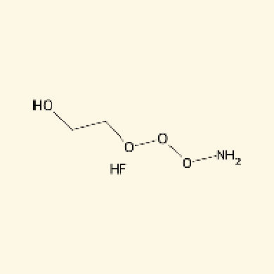 F.NOOOCCO